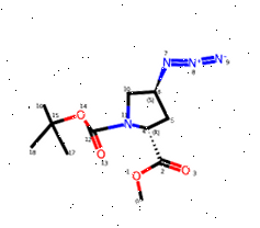 COC(=O)[C@H]1C[C@H](N=[N+]=[N-])CN1C(=O)OC(C)(C)C